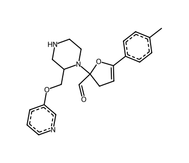 Cc1ccc(C2=CCC(C=O)(N3CCNCC3COc3cccnc3)O2)cc1